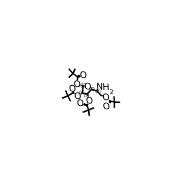 CC(C)(C)C(=O)OC[C@@H](N)[C@@H]1O[C@@H](OC(=O)C(C)(C)C)[C@H](OC(=O)C(C)(C)C)[C@H]1OC(=O)C(C)(C)C